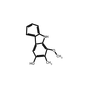 COc1c(C)c(O)cc2c1[nH]c1ccccc12